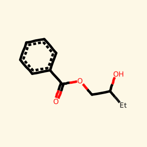 CCC(O)COC(=O)c1ccccc1